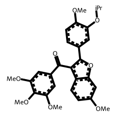 COc1ccc2c(C(=O)c3cc(OC)c(OC)c(OC)c3)c(-c3ccc(OC)c(OC(C)C)c3)oc2c1